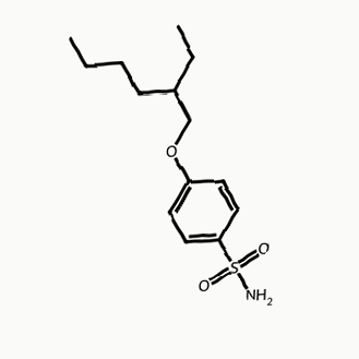 CCCCC(CC)COc1ccc(S(N)(=O)=O)cc1